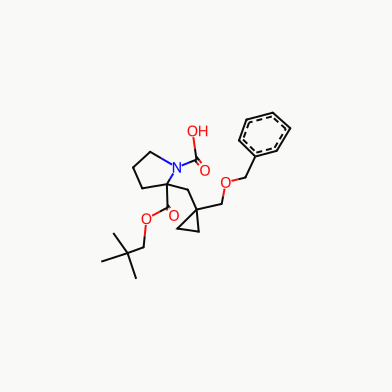 CC(C)(C)COC(=O)C1(CC2(COCc3ccccc3)CC2)CCCN1C(=O)O